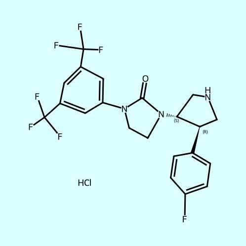 Cl.O=C1N(c2cc(C(F)(F)F)cc(C(F)(F)F)c2)CCN1[C@@H]1CNC[C@H]1c1ccc(F)cc1